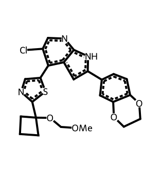 COCOC1(c2ncc(-c3c(Cl)cnc4[nH]c(-c5ccc6c(c5)OCCO6)cc34)s2)CCC1